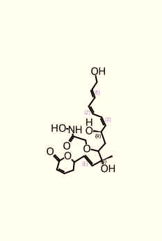 C[C@@](O)(/C=C/C1CC=CC(=O)O1)C(C[C@@H](O)\C=C/C=C\C=C\CO)OCC(=O)NO